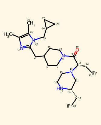 Cc1nc(CC2CCN(C(=O)[C@H](CC(C)C)N3CCN[C@@H](CC(C)C)C3)CC2)n(CC2CC2)c1C